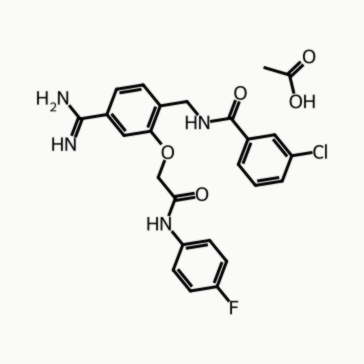 CC(=O)O.N=C(N)c1ccc(CNC(=O)c2cccc(Cl)c2)c(OCC(=O)Nc2ccc(F)cc2)c1